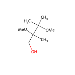 COC(C)(C)C(C)(CO)OC